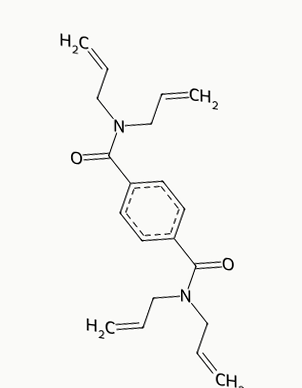 C=CCN(CC=C)C(=O)c1ccc(C(=O)N(CC=C)CC=C)cc1